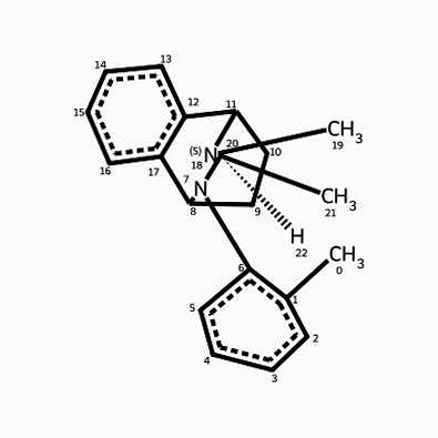 Cc1ccccc1N1C2CCC(c3ccccc32)N(C)[C@@H]1C